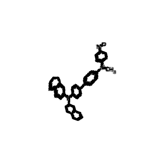 CN(c1ccc(N=O)cc1)c1ccc(-c2ccc(N(c3ccc4ccccc4c3)c3ccc4ccccc4c3)cc2)cc1